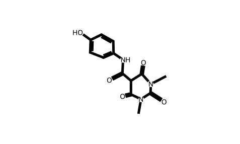 CN1C(=O)C(C(=O)Nc2ccc(O)cc2)C(=O)N(C)C1=O